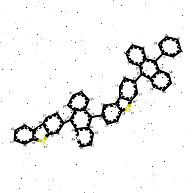 c1ccc(-c2c3ccccc3c(-c3ccc4c(c3)sc3ccc(-c5c6ccccc6c(-c6ccc7c(c6)sc6ccccc67)c6ccccc56)cc34)c3ccccc23)cc1